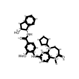 COc1cc(C(=O)N[C@H]2c3ccccc3C[C@H]2O)ccc1Nc1ncc2c(n1)N(C1CCCC1)CCC(=O)N2C